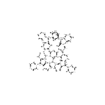 c1ccc(-n2c3ccccc3c3cc(-c4ccc5c(c4)c4c(ccc6c7ccc8c(c9cc(-c%10ccc%11c(c%10)c%10ccccc%10n%11-c%10ccccc%10)ccc9n8-c8ccccc8)c7n(-c7ccccc7)c64)n5-c4ccccc4)ccc32)cc1